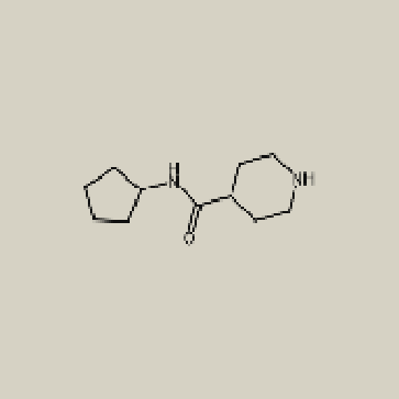 O=C(NC1CCCC1)C1CCNCC1